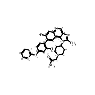 Cc1nc2cnc3cc(F)c(-c4ccc(Oc5ncccn5)cc4Cl)cc3c2n1C1CCN(CC(N)=O)CC1